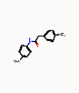 COc1ccc(NC(=O)Cc2ccc([N+](=O)[O-])cc2)cc1